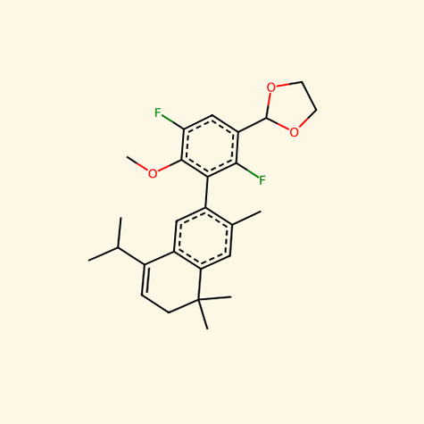 COc1c(F)cc(C2OCCO2)c(F)c1-c1cc2c(cc1C)C(C)(C)CC=C2C(C)C